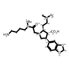 CCCCN(CCCCN)C(=O)CN1C[C@H](c2ccc3c(c2)OCO3)[C@@H](C(=O)O)[C@@H]1CCN(C)C(C)=O